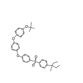 CCC(C)(CC)c1ccc(S(=O)(=O)c2ccc(Oc3ccc(Oc4ccc(OC(C)(C)C)cc4)cc3)cc2)cc1